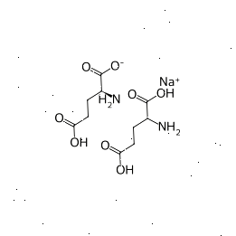 NC(CCC(=O)O)C(=O)O.N[C@@H](CCC(=O)O)C(=O)[O-].[Na+]